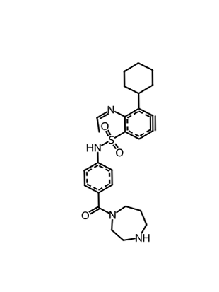 C/C=N\c1c(C2CCCCC2)c#ccc1S(=O)(=O)Nc1ccc(C(=O)N2CCCNCC2)cc1